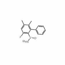 CN[S+]([O-])c1c(F)cc(C)c(C)c1-c1ccccc1